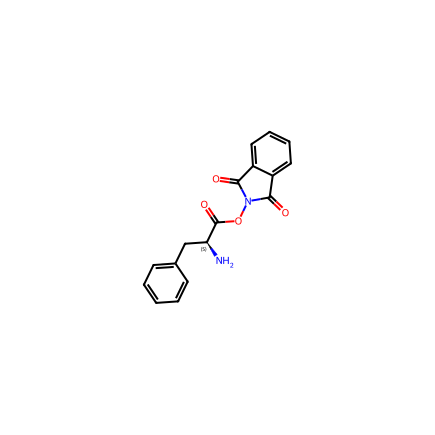 N[C@@H](Cc1ccccc1)C(=O)ON1C(=O)c2ccccc2C1=O